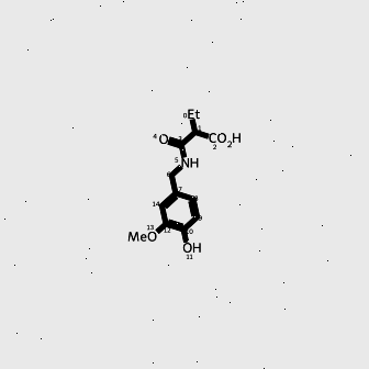 CCC(C(=O)O)C(=O)NCc1ccc(O)c(OC)c1